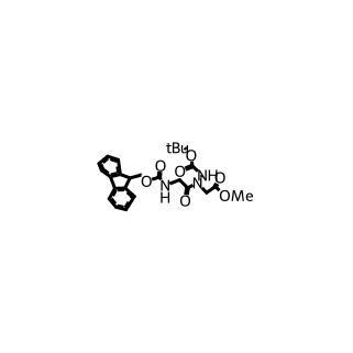 COC(=O)CN(NC(=O)OC(C)(C)C)C(=O)CNC(=O)OCC1c2ccccc2-c2ccccc21